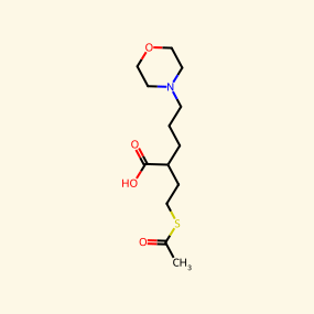 CC(=O)SCCC(CCCN1CCOCC1)C(=O)O